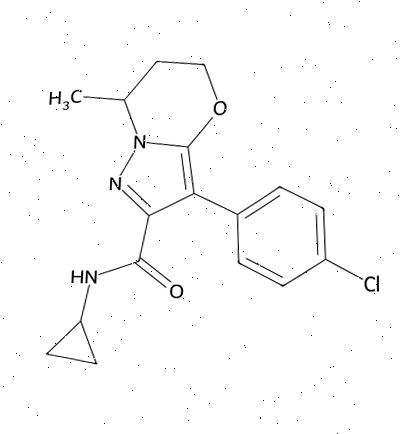 CC1CCOc2c(-c3ccc(Cl)cc3)c(C(=O)NC3CC3)nn21